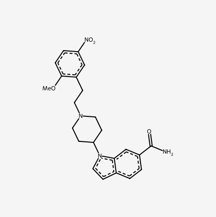 COc1ccc([N+](=O)[O-])cc1CCN1CCC(n2ccc3ccc(C(N)=O)cc32)CC1